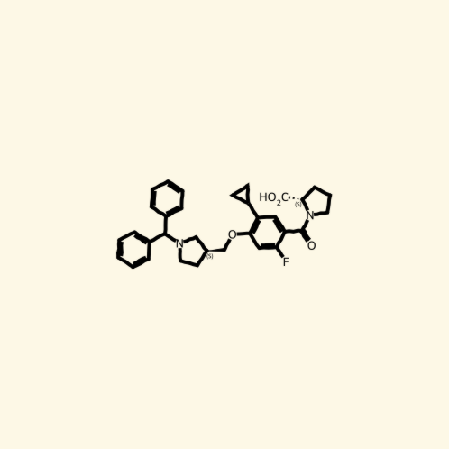 O=C(O)[C@@H]1CCCN1C(=O)c1cc(C2CC2)c(OC[C@H]2CCN(C(c3ccccc3)c3ccccc3)C2)cc1F